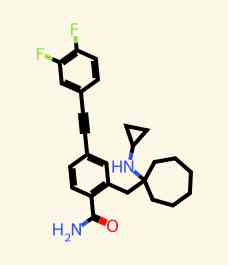 NC(=O)c1ccc(C#Cc2ccc(F)c(F)c2)cc1CC1(NC2CC2)CCCCCC1